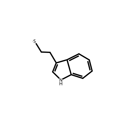 [S]CCc1c[nH]c2ccccc12